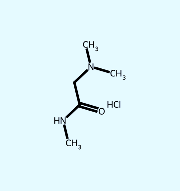 CNC(=O)CN(C)C.Cl